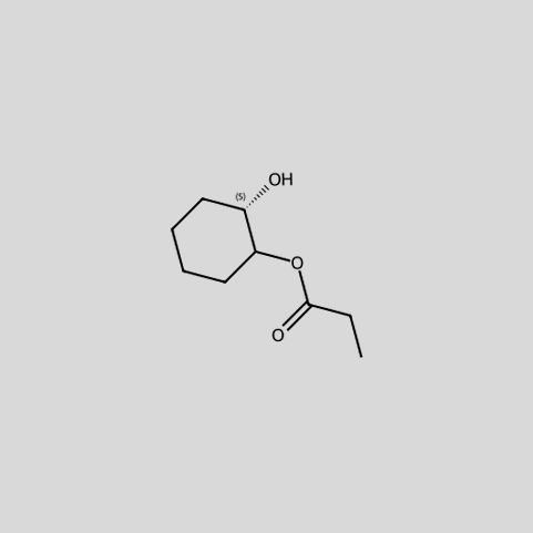 CCC(=O)OC1CCCC[C@@H]1O